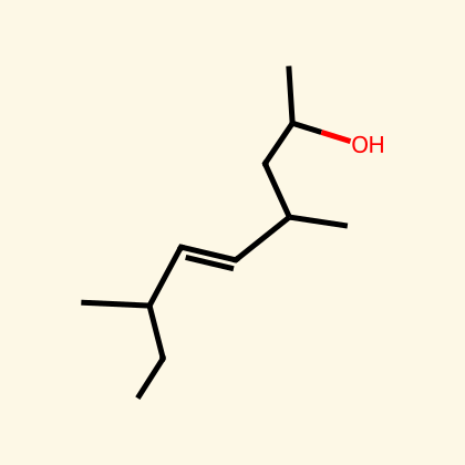 CCC(C)/C=C/C(C)CC(C)O